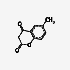 Cc1ccc2c(c1)C(=O)CC(=O)O2